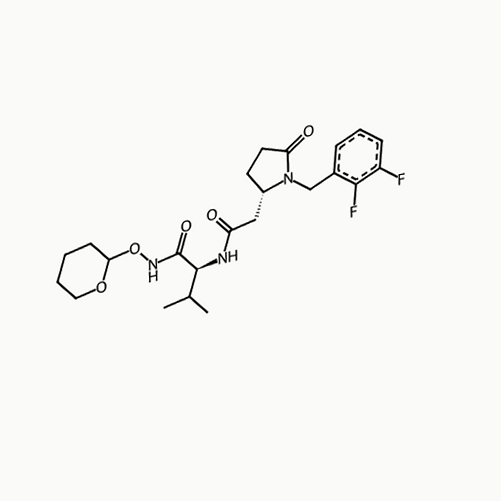 CC(C)[C@H](NC(=O)C[C@@H]1CCC(=O)N1Cc1cccc(F)c1F)C(=O)NOC1CCCCO1